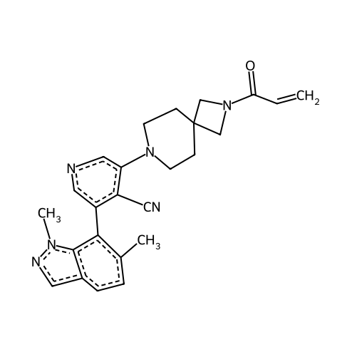 C=CC(=O)N1CC2(CCN(c3cncc(-c4c(C)ccc5cnn(C)c45)c3C#N)CC2)C1